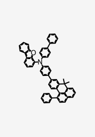 CC1(C)c2cc(-c3ccc(N(c4ccc(-c5ccccc5)cc4)c4cccc5c4oc4ccccc45)cc3)ccc2-c2c(-c3ccccc3)ccc3cccc1c23